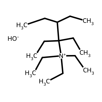 CCC(CC)C(CC)(CC)[N+](CC)(CC)CC.[OH-]